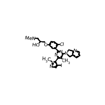 CNCC(O)COc1ccc(Cl)c(-c2nc(-c3c(I)cnn3C)c(C)c(N3Cc4cccnc4C3)n2)c1